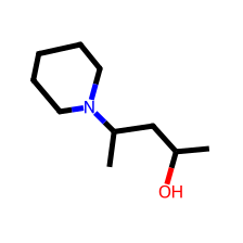 CC(O)CC(C)N1CCCCC1